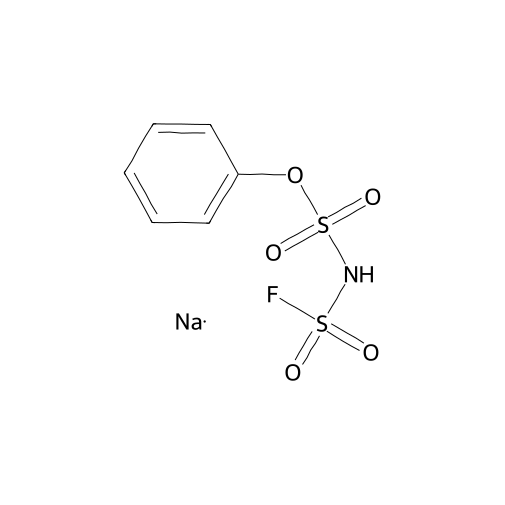 O=S(=O)(F)NS(=O)(=O)Oc1ccccc1.[Na]